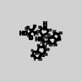 O=C(O)C(F)(F)F.c1ccc2cc(C(NC3CCNCC3)c3ccc4sccc4c3)ccc2c1